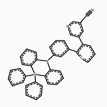 N#Cc1cncc(-c2ccccc2-c2cccc(N3c4ccccc4[Si](c4ccccc4)(c4ccccc4)c4ccccc43)c2)c1